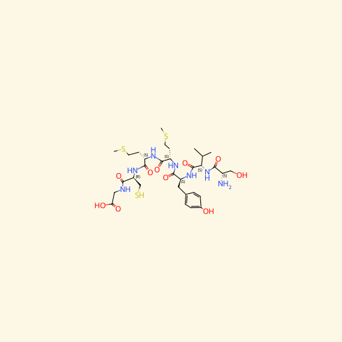 CSCC[C@H](NC(=O)[C@H](CCSC)NC(=O)[C@H](Cc1ccc(O)cc1)NC(=O)[C@@H](NC(=O)[C@@H](N)CO)C(C)C)C(=O)N[C@@H](CS)C(=O)NCC(=O)O